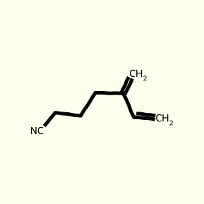 C=CC(=C)CCCC#N